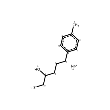 Cc1ccc(CCCC(O)C[S-])cc1.[Na+]